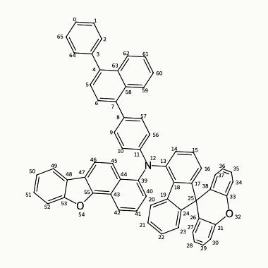 c1ccc(-c2ccc(-c3ccc(N(c4cccc5c4-c4ccccc4C54c5ccccc5Oc5ccccc54)c4cccc5c4ccc4c6ccccc6oc54)cc3)c3ccccc23)cc1